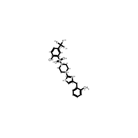 Cc1ccccc1Cc1csc(N2CCN(S(=O)(=O)c3cc(C(F)(F)F)ccc3Cl)CC2)n1